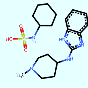 CN1CCC(Nc2nc3ccccc3[nH]2)CC1.O=S(=O)(O)NC1CCCCC1